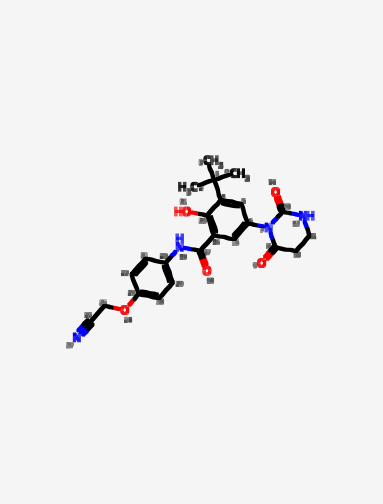 CC(C)(C)c1cc(N2C(=O)CCNC2=O)cc(C(=O)Nc2ccc(OCC#N)cc2)c1O